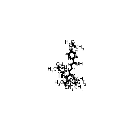 CC(C)C[C@@H](NC(=O)OC(C)(C)C)C(CCCC(O)c1ncc(OC(C)C)cn1)O[Si](C)(C)C(C)(C)C